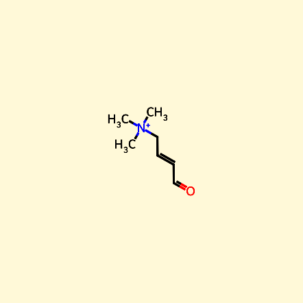 C[N+](C)(C)CC=CC=O